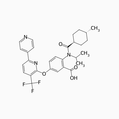 CC(C)N(c1ccc(Oc2nc(-c3ccncc3)ccc2C(F)(F)F)cc1C(=O)O)C(=O)[C@H]1CC[C@H](C)CC1